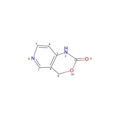 O=C1Nc2ccncc2CO1